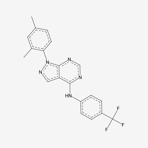 Cc1ccc(-n2ncc3c(Nc4ccc(C(F)(F)F)cc4)ncnc32)c(C)c1